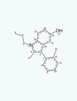 CCCn1c(C)c(-c2ccccc2C)c2cc(O)ccc21